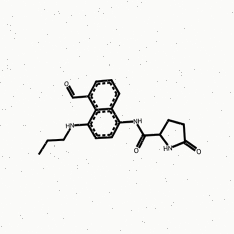 CCCNc1ccc(NC(=O)C2CCC(=O)N2)c2cccc(C=O)c12